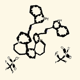 C(=C\c1c[nH]c2ccccc12)/c1cc[n+]2c(c1)-c1c(ccc3c1-c1cccc(/C=C/c4c[nH]c5ccccc45)[n+]1CCC3)CCC2.O=S(=O)([O-])C(F)(F)F.O=S(=O)([O-])C(F)(F)F